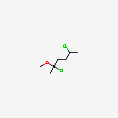 CO[Si](C)(Cl)CCC(C)Cl